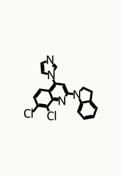 Clc1ccc2c(-n3ccnc3)cc(N3CCc4ccccc43)nc2c1Cl